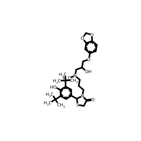 CN(CCCN1C(=O)CSC1c1cc(C(C)(C)C)c(O)c(C(C)(C)C)c1)CC(O)COc1ccc2c(c1)OCO2